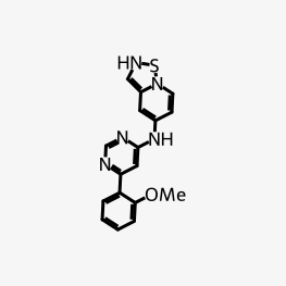 COc1ccccc1-c1cc(NC2=CC3=CNSN3C=C2)ncn1